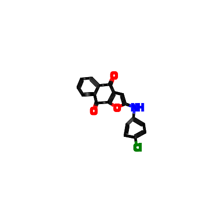 O=C1c2ccccc2C(=O)c2oc(Nc3ccc(Cl)cc3)cc21